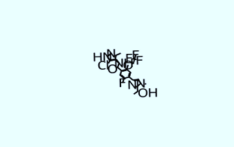 Cc1n[nH]c(Cl)c1NC(=O)c1cc(F)c(-c2cn(C)c(C(C)O)n2)cc1OCC(F)(F)F